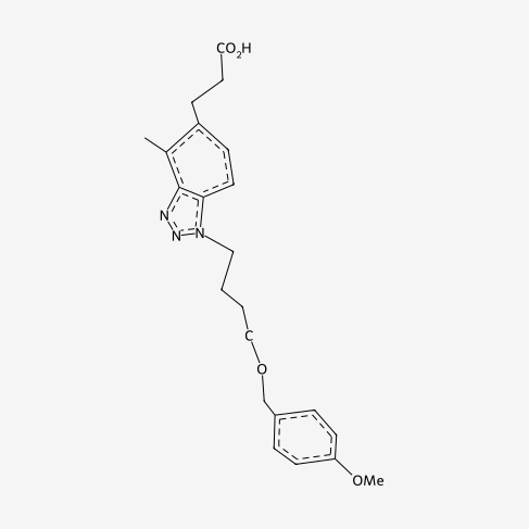 COc1ccc(COCCCCn2nnc3c(C)c(CCC(=O)O)ccc32)cc1